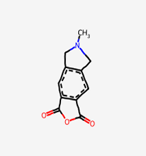 CN1Cc2cc3c(cc2C1)C(=O)OC3=O